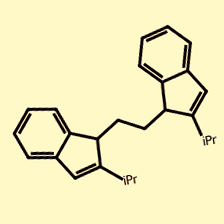 CC(C)C1=Cc2ccccc2C1CCC1C(C(C)C)=Cc2ccccc21